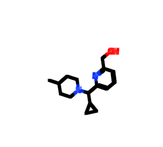 CC1CCN(C(c2cccc(CO)n2)C2CC2)CC1